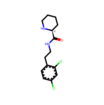 O=C(NCCc1ccc(Cl)cc1Cl)[C@@H]1CCCCN1